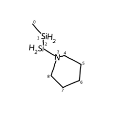 C[SiH2][SiH2]N1CCCCC1